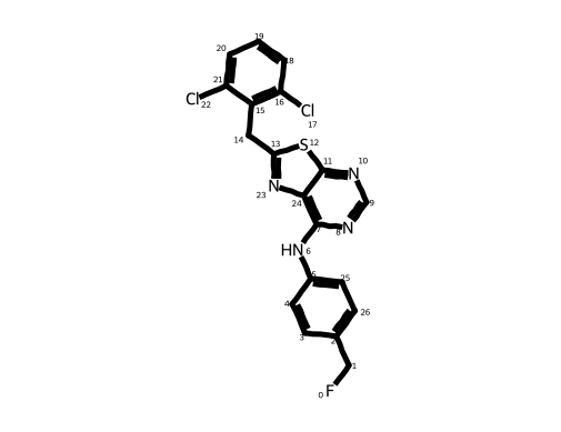 FCc1ccc(Nc2ncnc3sc(Cc4c(Cl)cccc4Cl)nc23)cc1